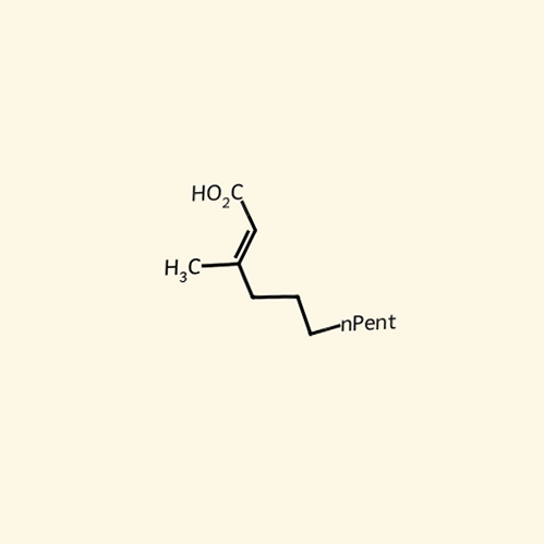 CCCCCCCCC(C)=CC(=O)O